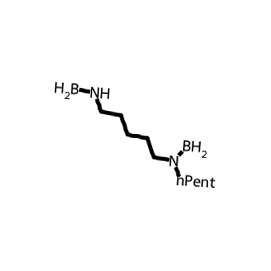 BNCCCCCN(B)CCCCC